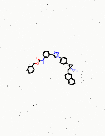 N[C@]1(Cc2ccc3ccccc3c2)C[C@H]1c1ccc(-n2cc(-c3cccc(NC(=O)OCc4ccccc4)c3)nn2)cc1